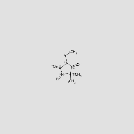 CCN1C(=O)N(Br)C(C)(C)C1=O